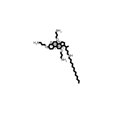 CCCCCCCCCCCCCNCCCC(C)C1CC[C@H]2[C@@H]3[C@H](OCCCN)C[C@@H]4C[C@H](OCCCN)CC[C@]4(C)[C@H]3C[C@H](OCCCN)[C@]12C